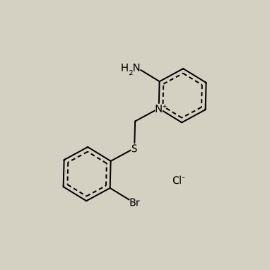 Nc1cccc[n+]1CSc1ccccc1Br.[Cl-]